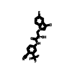 N#Cc1ccc(NC(=O)[C@@H](O)Cn2cc(Cl)c3cc(F)ccc32)cc1C(F)(F)F